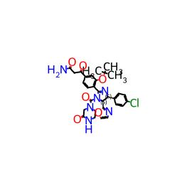 CC(C)(C)Oc1cc(C(=O)CC(N)=O)ccc1C1=N[C@@H](c2ccc(Cl)cc2)[C@@H](c2ncco2)N1C(=O)N1CCNC(=O)C1